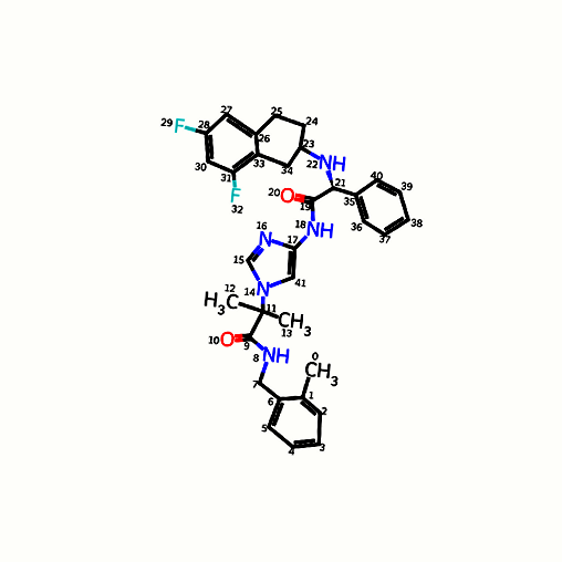 Cc1ccccc1CNC(=O)C(C)(C)n1cnc(NC(=O)[C@@H](NC2CCc3cc(F)cc(F)c3C2)c2ccccc2)c1